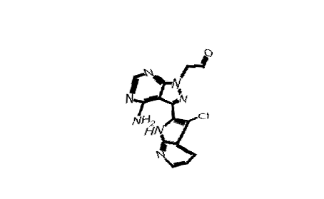 Nc1ncnc2c1c(-c1[nH]c3ncccc3c1Cl)nn2CC=O